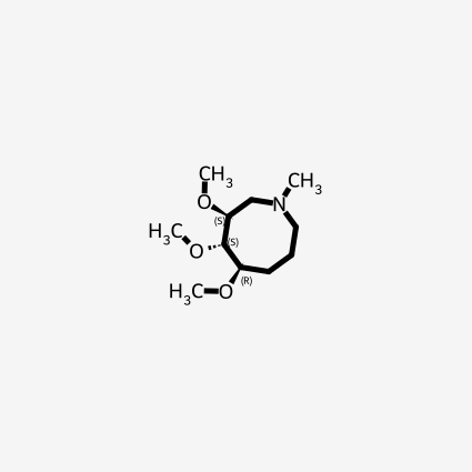 CO[C@@H]1[C@@H](OC)CN(C)CCC[C@H]1OC